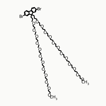 COCCOCCOCCOCCOCCOCCOCCOCCOCCOCCOCCOCCCC1(CCCOCCOCCOCCOCCOCCOCCOCCOCCOCCOCCOCCOC)c2cc(Br)ccc2-c2ccc(Br)cc21